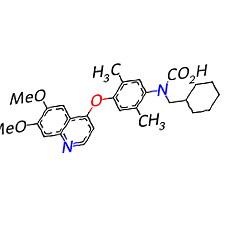 COc1cc2nccc(Oc3cc(C)c(N(CC4CCCCC4)C(=O)O)cc3C)c2cc1OC